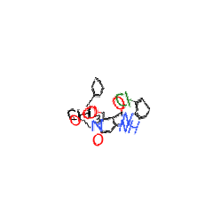 COCCn1c(COCc2ccccc2)c2c(=O)n(-c3ccccc3Cl)[nH]c2cc1=O